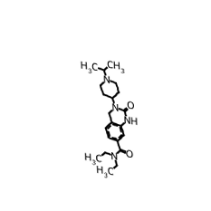 CCN(CC)C(=O)c1ccc2c(c1)NC(=O)N(C1CCN(C(C)C)CC1)C2